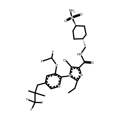 CCc1nc(C(=O)NC[C@H]2CC[C@H](S(N)(=O)=O)CC2)c(Cl)n1-c1ncc(CC(C)(C)C(F)(F)F)cc1OC(F)F